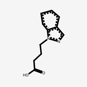 O=C(O)CC[CH]n1ncc2ccccc21